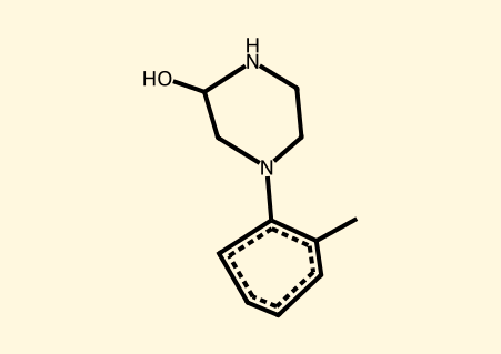 Cc1ccccc1N1CCNC(O)C1